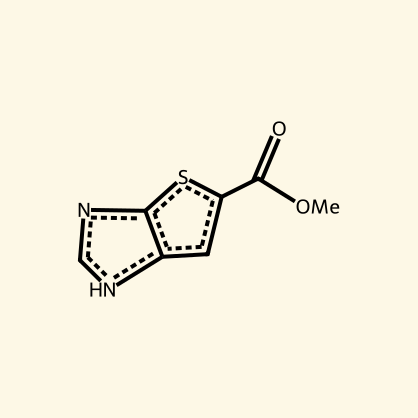 COC(=O)c1cc2[nH]cnc2s1